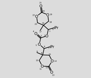 CC(C)C(OC(=O)OC(C(C)C)C1(C)COC(=O)OC1)C1(C)COC(=O)OC1